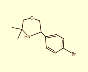 CC1(C)COCC(c2ccc(Br)cc2)N1